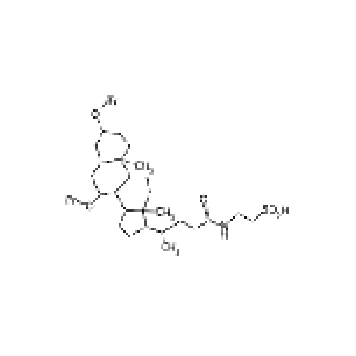 CC(C)OC1CCC2(C)C(C1)CC(OC(C)C)C1C2CCC2(C)C(C(C)CCC(=O)NCCS(=O)(=O)O)CCC12